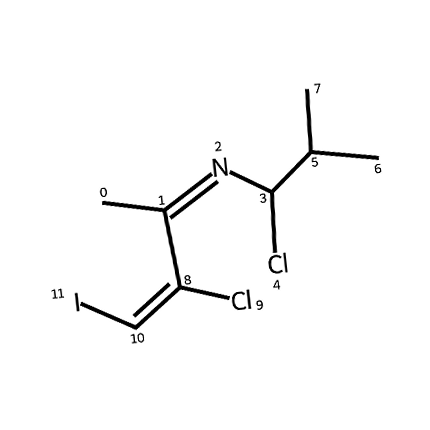 CC(=N/C(Cl)C(C)C)/C(Cl)=C\I